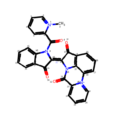 C[n+]1ccccc1C(=O)N1/C(=c2\c(=O)c3cccc4c3n2c(=O)c2cccc[n+]24)C(=O)c2ccccc21